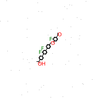 CC(O)c1ccc(-c2ccc(-c3ccc(COc4ccc(C5CO5)cc4F)cc3)c(F)c2F)cc1